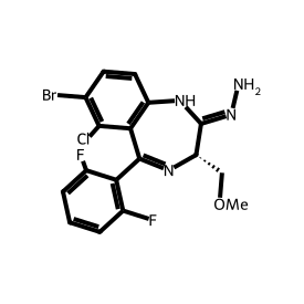 COC[C@@H]1N=C(c2c(F)cccc2F)c2c(ccc(Br)c2Cl)NC1=NN